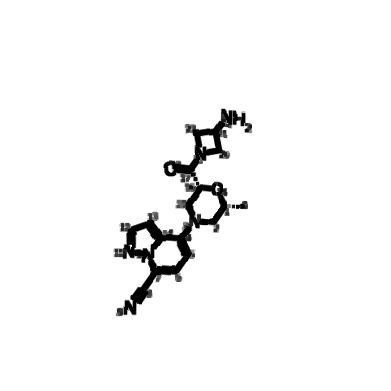 C[C@@H]1CN(c2ccc(C#N)n3nccc23)C[C@H](C(=O)N2CC(N)C2)O1